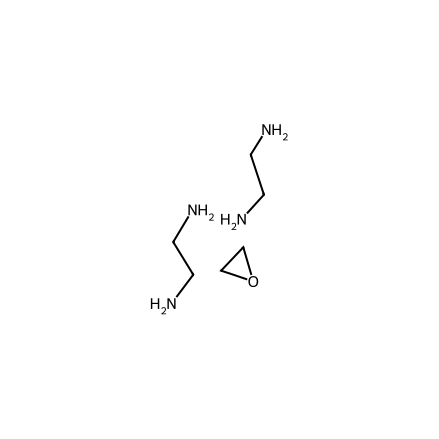 C1CO1.NCCN.NCCN